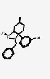 CCNC1CC(C)CCC1(c1cccc(O)c1)N(C)Cc1ccccc1